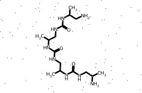 CC(N)CNC(=O)NC(C)CNC(=O)NC(C)CNC(=O)NC(C)CN